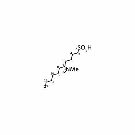 CNC.O=S(=O)(O)CCCCCCCCCCF